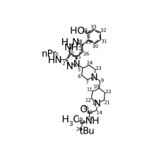 CCCNc1nn(C2CCN(CC3CCN(CC(=O)NC(C)C(C)(C)C)CC3)CC2)c(/C=C(\N)c2ccccc2O)c1N